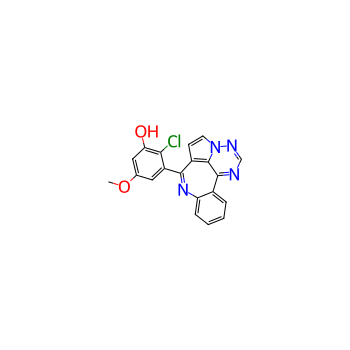 COc1cc(O)c(Cl)c(C2=Nc3ccccc3-c3ncnn4ccc2c34)c1